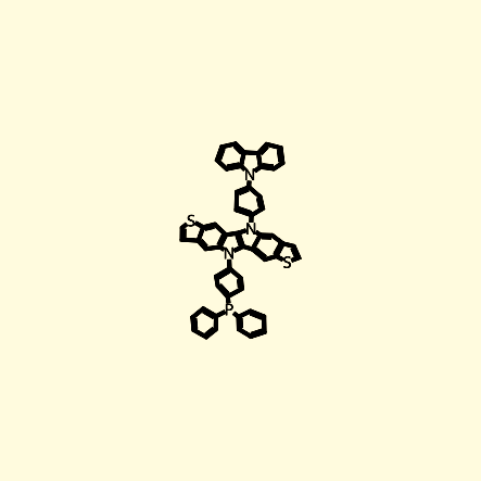 c1ccc(P(c2ccccc2)c2ccc(-n3c4cc5ccsc5cc4c4c3c3cc5sccc5cc3n4-c3ccc(-n4c5ccccc5c5ccccc54)cc3)cc2)cc1